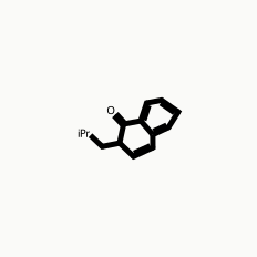 CC(C)CC1C=Cc2ccccc2C1=O